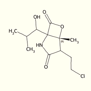 CC(C)C(O)C12NC(=O)C(CCCl)[C@@]1(C)OC2=O